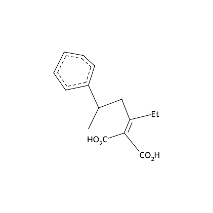 CCC(CC(C)c1ccccc1)=C(C(=O)O)C(=O)O